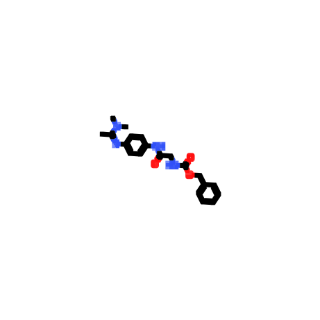 CC(=Nc1ccc(NC(=O)CNC(=O)OCc2ccccc2)cc1)N(C)C